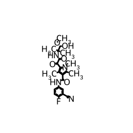 COC(O)C(C)(C)NC(=O)C(=O)c1c(C)c(C(=O)Nc2ccc(F)c(C#N)c2)c(C)n1C